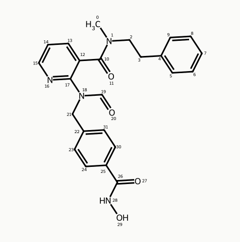 CN(CCc1ccccc1)C(=O)c1cccnc1N(C=O)Cc1ccc(C(=O)NO)cc1